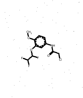 COc1ccc(NC(=O)CCl)cc1OC(F)C(F)F